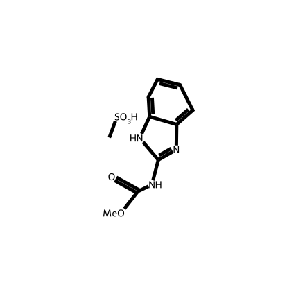 COC(=O)Nc1nc2ccccc2[nH]1.CS(=O)(=O)O